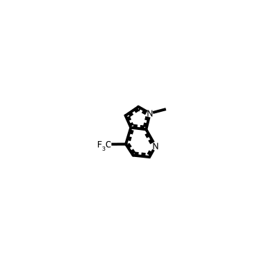 Cn1ccc2c(C(F)(F)F)ccnc21